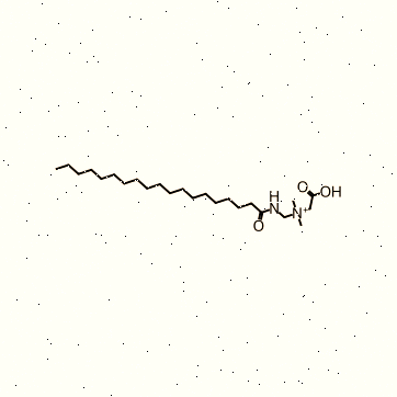 CCCCCCCCCCCCCCCCCCC(=O)NC[N+](C)(C)CC(=O)O